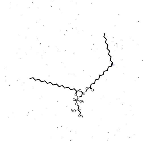 CCCCCCCCCC/C=C\CCCCCCCCCC(=O)OC[C@H](COP(=O)(O)OC[C@@H](O)CO)OC(=O)CCCCCCCCCCCCCCCC